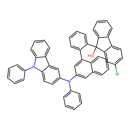 OC1(c2ccccc2-c2cc(N(c3ccccc3)c3ccc4c(c3)c3ccccc3n4-c3ccccc3)cc3ccccc23)c2ccccc2-c2ccc(Br)cc21